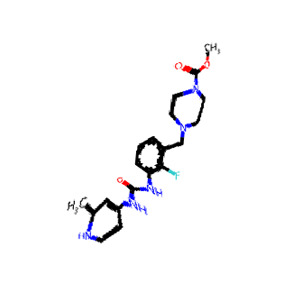 COC(=O)N1CCN(Cc2cccc(NC(=O)NC3=CC(C)NC=C3)c2F)CC1